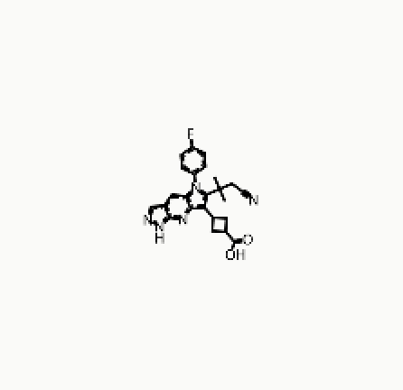 CC(C)(CC#N)c1c(C2CC(C(=O)O)C2)c2nc3[nH]ncc3cc2n1-c1ccc(F)cc1